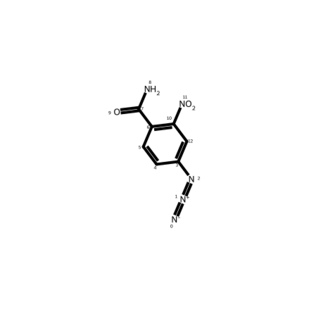 [N-]=[N+]=Nc1ccc(C(N)=O)c([N+](=O)[O-])c1